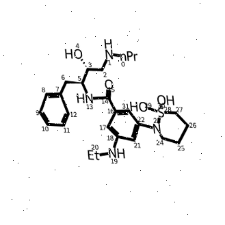 CCCNC[C@@H](O)[C@H](Cc1ccccc1)NC(=O)c1cc(NCC)cc(N2CCCCS2(O)O)c1